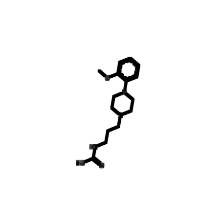 COc1ccccc1N1CCN(CCCNC(=O)O)CC1